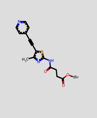 Cc1nc(NC(=O)CCC(=O)OC(C)(C)C)sc1C#Cc1ccncc1